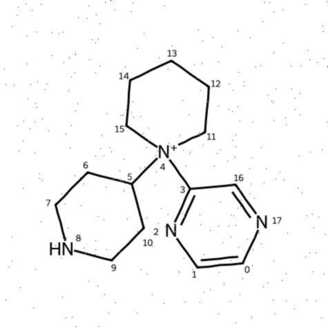 c1cnc([N+]2(C3CCNCC3)CCCCC2)cn1